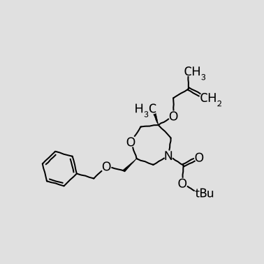 C=C(C)CO[C@@]1(C)CO[C@H](COCc2ccccc2)CN(C(=O)OC(C)(C)C)C1